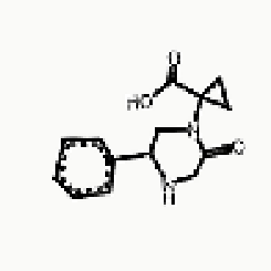 O=C1CNC(c2ccccc2)CN1C1(C(=O)O)CC1